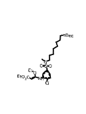 CCCCCCCCCCCCCCCCCCN(C)S(=O)(=O)c1ccc(Cl)c(NC(=CC(=O)OCC)OCC)c1